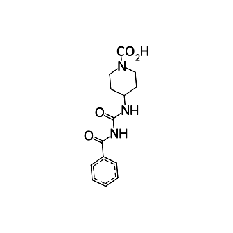 O=C(NC(=O)c1ccccc1)NC1CCN(C(=O)O)CC1